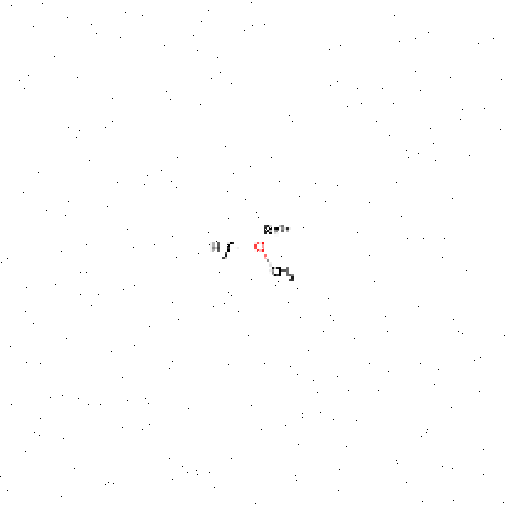 COC.[Re+7]